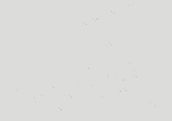 [2H]C([2H])([2H])NC(=O)c1nnc(Cl)cc1Nc1cc(COCc2nc(NC(=O)OC(C)(C)C)ccc2F)cc(-c2ncc(F)cn2)c1OC